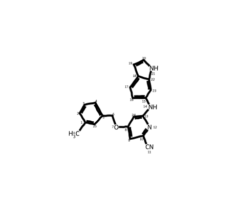 Cc1cccc(COc2cc(C#N)nc(Nc3ccc4cc[nH]c4c3)c2)c1